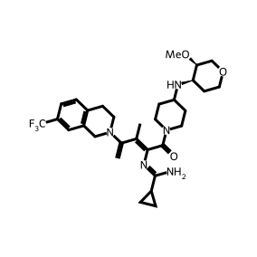 C=C(/C(C)=C(\N=C(/N)C1CC1)C(=O)N1CCC(N[C@@H]2CCOC[C@@H]2OC)CC1)N1CCc2ccc(C(F)(F)F)cc2C1